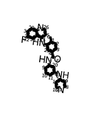 Cc1ccc(C(=O)Nc2cccc(Nc3ccncc3)c2)cc1Nc1ccnc2ccc(F)cc12